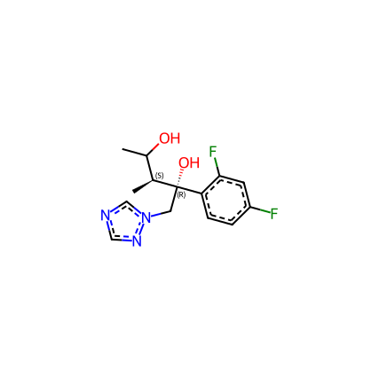 CC(O)[C@H](C)[C@](O)(Cn1cncn1)c1ccc(F)cc1F